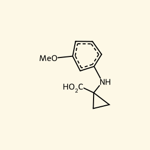 COc1cccc(NC2(C(=O)O)CC2)c1